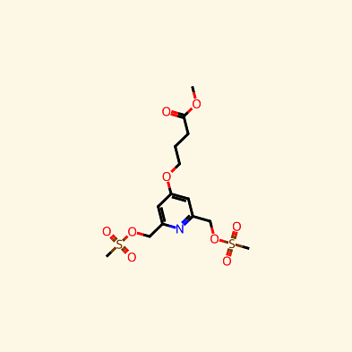 COC(=O)CCCOc1cc(COS(C)(=O)=O)nc(COS(C)(=O)=O)c1